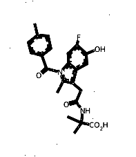 Cc1ccc(C(=O)n2c(C)c(CC(=O)NC(C)(C)C(=O)O)c3cc(O)c(F)cc32)cc1